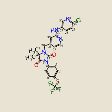 CC1(C)C(=O)N(c2ccc(SC(F)(F)F)cc2)C(=O)N1Cc1ccnc(Nc2ccc(Cl)nc2)c1